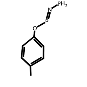 Cc1ccc(OP=NP)cc1